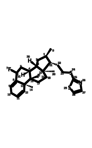 C[C@@H]1C[C@H]2[C@@H]3CC(F)C4=CCC=C[C@]4(C)[C@@]3(F)CC[C@]2(C)[C@H]1CCSc1nccs1